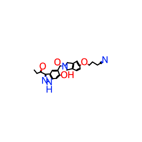 CCC(=O)c1n[nH]c2cc(O)c(C(=O)N3Cc4ccc(OCCCC#N)cc4C3)cc12